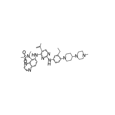 C=C(C)c1cnc(Nc2ccc(N3CCC(N4CCN(C)CC4)CC3)c(CC)c2)nc1Nc1ccc2nccnc2c1N(C)S(C)(=O)=O